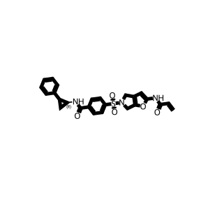 C=CC(=O)Nc1cc2c(o1)CN(S(=O)(=O)c1ccc(C(=O)N[C@@H]3CC3c3ccccc3)cc1)C2